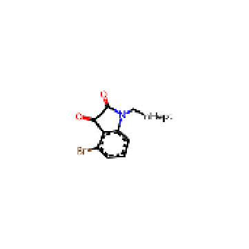 CCCCCCCCN1C(=O)C(=O)c2c(Br)cccc21